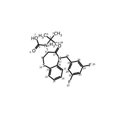 CC(C)(C)N(C(=O)O)[C@H]1CSc2ccccc2N(Cc2cc(F)cc(F)c2)C1=O